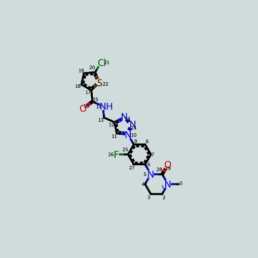 CN1CCCN(c2ccc(-n3cc(CNC(=O)c4ccc(Cl)s4)nn3)c(F)c2)C1=O